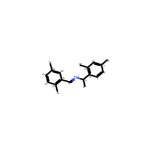 Cc1ccc(C(C)N=Cc2cc(C)ccc2C)c(C)c1